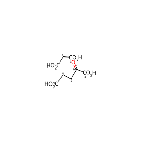 O=C(O)CC(=O)O.O=C(O)CCC(=O)C(=O)O